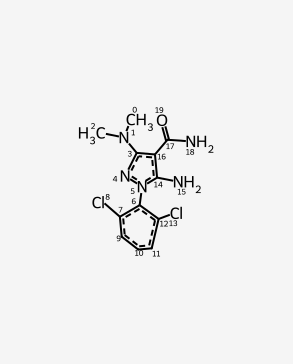 CN(C)c1nn(-c2c(Cl)cccc2Cl)c(N)c1C(N)=O